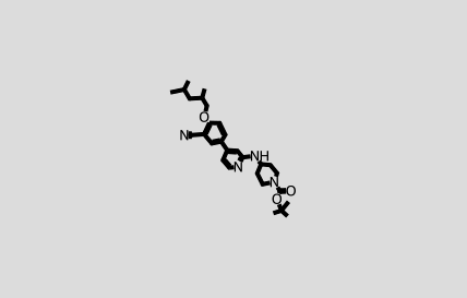 CC(C)CC(C)COc1ccc(-c2ccnc(NC3CCN(C(=O)OC(C)(C)C)CC3)c2)cc1C#N